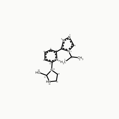 CC(C)n1cnnc1-c1cccc(N2CCNC2O)n1